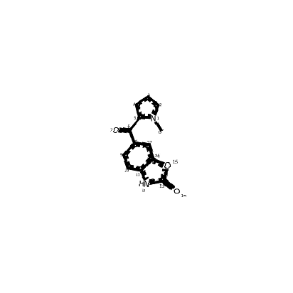 Cn1cccc1C(=O)c1ccc2[nH]c(=O)oc2c1